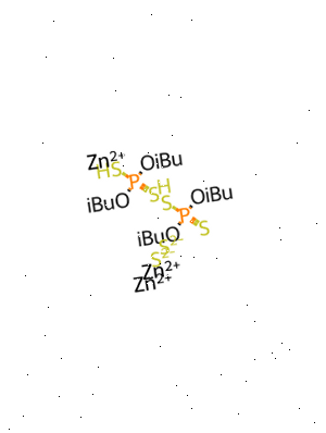 CC(C)COP(=S)(S)OCC(C)C.CC(C)COP(=S)(S)OCC(C)C.[S-2].[S-2].[Zn+2].[Zn+2].[Zn+2]